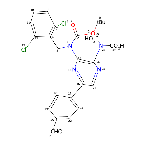 CC(C)(C)OC(=O)N(Cc1c(Cl)cccc1Cl)c1nc(-c2ccc(C=O)cc2)cnc1N(C(=O)O)C(=O)O